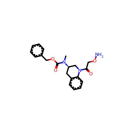 CN(C(=O)OCc1ccccc1)[C@@H]1Cc2ccccc2N(C(=O)CON)C1